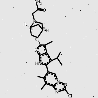 Cc1c(-c2[nH]c3sc([C@@H]4C[C@@H]5C[C@H]4CN5CC(N)=O)c(C)c3c2C(C)C)cn2nc(Cl)nc2c1C